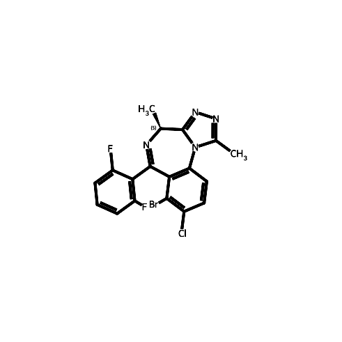 Cc1nnc2n1-c1ccc(Cl)c(Br)c1C(c1c(F)cccc1F)=N[C@H]2C